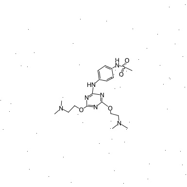 CN(C)CCOc1nc(Nc2ccc(NS(C)(=O)=O)cc2)nc(OCCN(C)C)n1